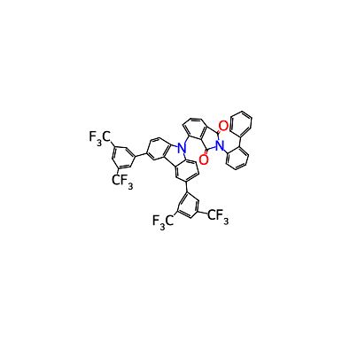 O=C1c2cccc(-n3c4ccc(-c5cc(C(F)(F)F)cc(C(F)(F)F)c5)cc4c4cc(-c5cc(C(F)(F)F)cc(C(F)(F)F)c5)ccc43)c2C(=O)N1c1ccccc1-c1ccccc1